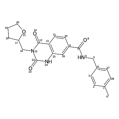 Cc1ccc(CNC(=O)c2ccc3c(=O)n(CC4CCCO4)c(=O)[nH]c3c2)cc1